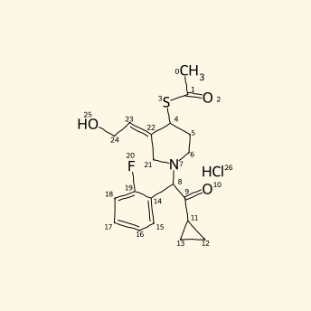 CC(=O)SC1CCN(C(C(=O)C2CC2)c2ccccc2F)C/C1=C\CO.Cl